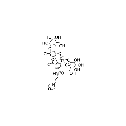 O=C(NCCCN1CCOCC1)c1ccc2c(c1)C(=O)OC21c2cc(Cl)c(O[C@H]3OC(CO)[C@@H](O)C(O)C3O)cc2Oc2cc(O[C@@H]3OC(CO)[C@H](O)C(O)C3O)c(Cl)cc21